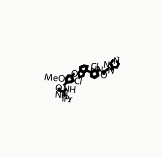 COc1cc(OC2CCc3c(-c4cccc(NC(=O)c5nc6c(n5C)CCN(C)C6)c4Cl)cccc32)c(Cl)cc1CNC(CC(C)C)C(N)=O